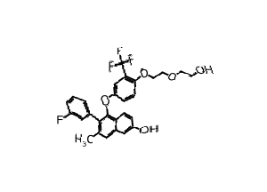 Cc1cc2cc(O)ccc2c(Oc2ccc(OCCOCCO)c(C(F)(F)F)c2)c1-c1cccc(F)c1